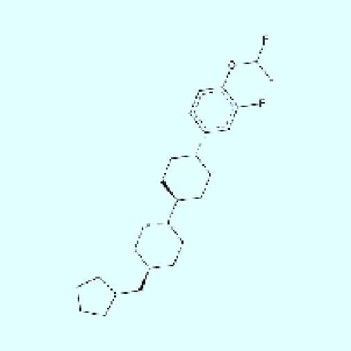 Fc1cc([C@H]2CC[C@H]([C@H]3CC[C@H](CC4CCCC4)CC3)CC2)ccc1OC(F)F